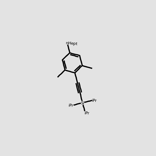 CCCCCCCc1cc(C)c(C#C[Si](C(C)C)(C(C)C)C(C)C)c(C)c1